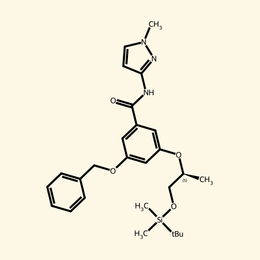 C[C@@H](CO[Si](C)(C)C(C)(C)C)Oc1cc(OCc2ccccc2)cc(C(=O)Nc2ccn(C)n2)c1